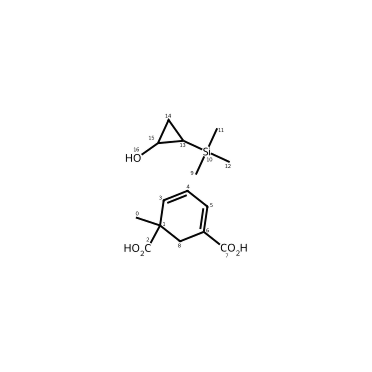 CC1(C(=O)O)C=CC=C(C(=O)O)C1.C[Si](C)(C)C1CC1O